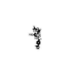 Cc1ncsc1-c1ccc([C@@H](C)NC(=O)[C@@H]2C[C@@H](O)CN2C(=O)[C@@H](NC(=O)C(C)C)C(C)(C)C)cc1